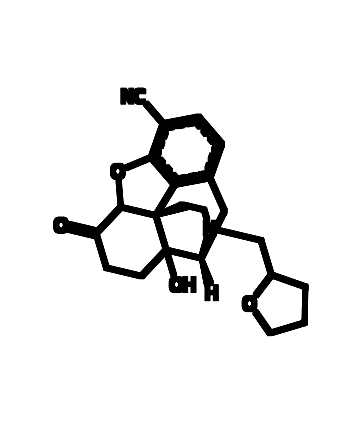 N#Cc1ccc2c3c1OC1C(=O)CCC4(O)[C@@H](C2)N(CC2CCCO2)CC[C@]314